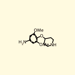 COc1cc(N)cc(OC)c1OC1CCNCC1